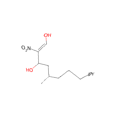 CC(C)CCCC(C)CC(O)C(=CO)[N+](=O)[O-]